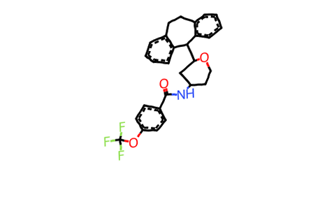 O=C(NC1CCOC(C2c3ccccc3CCc3ccccc32)C1)c1ccc(OC(F)(F)F)cc1